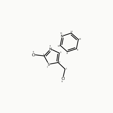 ClCc1cnc(Cl)s1.c1ccncc1